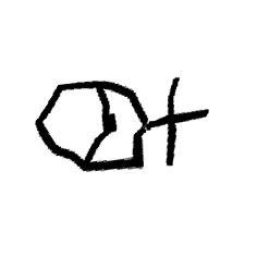 CC(C)(C)N1CC2C=CC(CCC2)C1